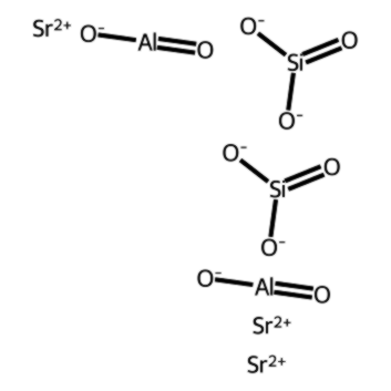 O=[Si]([O-])[O-].O=[Si]([O-])[O-].[O]=[Al][O-].[O]=[Al][O-].[Sr+2].[Sr+2].[Sr+2]